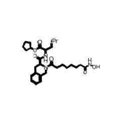 CC(C)CC(NC(=O)C1Cc2ccccc2CN1C(=O)CCCCCCC(=O)NO)C(=O)OC1CCCC1